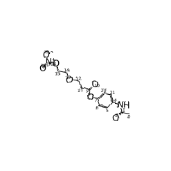 CC(=O)Nc1ccc(OC(=O)CCOCCO[N+](=O)[O-])cc1